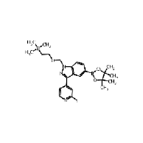 CC1(C)OB(c2ccc3c(c2)c(-c2ccnc(F)c2)nn3COCC[Si](C)(C)C)OC1(C)C